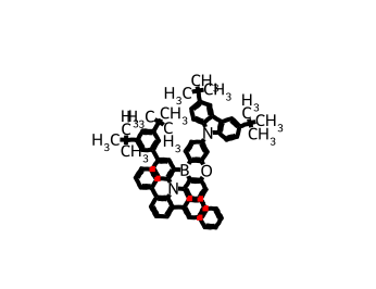 CC(C)(C)c1cc(-c2ccc3c(c2)B2c4ccc(-n5c6ccc(C(C)(C)C)cc6c6cc(C(C)(C)C)ccc65)cc4Oc4cc(-c5ccccc5)cc(c42)N3c2c(-c3ccccc3)cccc2-c2ccccc2)cc(C(C)(C)C)c1